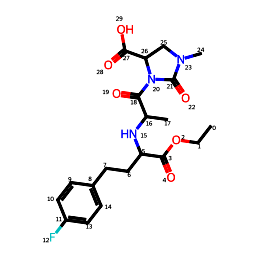 CCOC(=O)C(CCc1ccc(F)cc1)NC(C)C(=O)N1C(=O)N(C)CC1C(=O)O